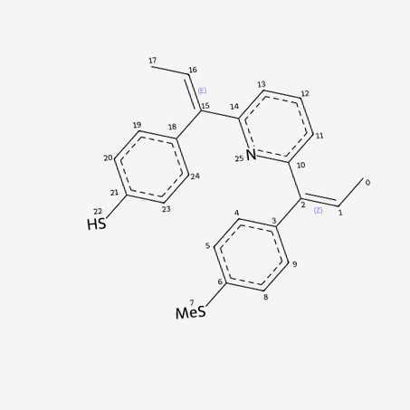 C/C=C(/c1ccc(SC)cc1)c1cccc(/C(=C/C)c2ccc(S)cc2)n1